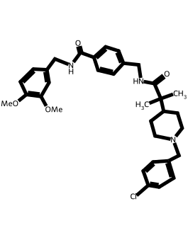 COc1ccc(CNC(=O)c2ccc(CNC(=O)C(C)(C)C3CCN(Cc4ccc(Cl)cc4)CC3)cc2)cc1OC